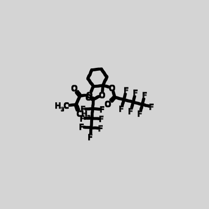 C=C(C)C(=O)OC1CCCCC1(OC(=O)C(F)(F)C(F)(F)C(F)(F)F)OC(=O)C(F)(F)C(F)(F)C(F)(F)F